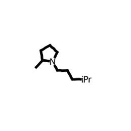 CC(C)CCCN1CCCC1C